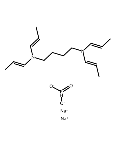 CC=CN(C=CC)CCCCN(C=CC)C=CC.O=[PH]([O-])[O-].[Na+].[Na+]